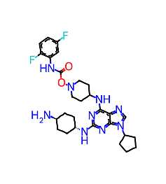 N[C@H]1CC[C@H](Nc2nc(NC3CCN(OC(=O)Nc4cc(F)ccc4F)CC3)c3ncn(C4CCCC4)c3n2)CC1